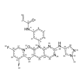 C=CC(=O)Nc1cccc(-n2c(=O)c(Oc3ncc(F)cc3F)cc3cnc(Nc4cnn(C)c4)nc32)c1